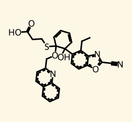 CCc1c(C2(O)C=CC=CC2(OCc2ccc3ccccc3n2)SCCC(=O)O)ccc2oc(C#N)nc12